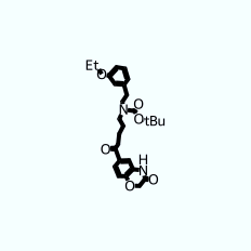 CCOc1cccc(CCN(CCCCC(=O)c2ccc3c(c2)NC(=O)CO3)C(=O)OC(C)(C)C)c1